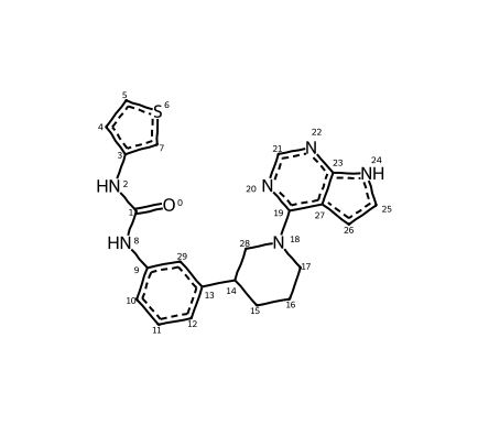 O=C(Nc1ccsc1)Nc1cccc(C2CCCN(c3ncnc4[nH]ccc34)C2)c1